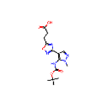 Cn1ncc(-c2noc(CCC(=O)O)n2)c1NC(=O)OC(C)(C)C